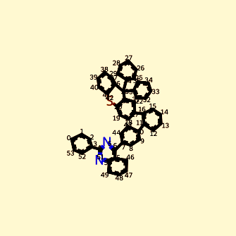 c1ccc(-c2nc(-c3ccc(-c4ccccc4-c4ccc5c(c4)C(c4ccccc4)(c4ccccc4)c4ccccc4S5)cc3)c3ccccc3n2)cc1